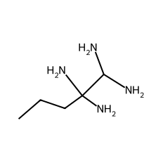 CCCC(N)(N)C(N)N